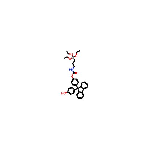 CCO[Si](CCCNC(=O)Oc1ccc(C2(c3ccc(O)cc3)c3ccccc3-c3ccccc32)cc1)(OCC)OCC